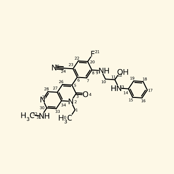 CCn1c(=O)c(-c2cc(NCC(O)Nc3ccccc3)c(F)cc2C#N)cc2cnc(NC)cc21